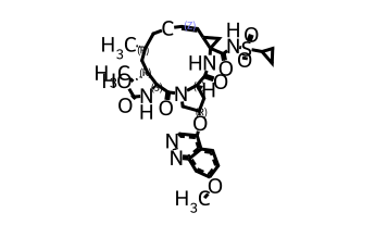 CC[C@@H]1C[C@H](C)CC/C=C\C2CC2(C(=O)NS(=O)(=O)C2CC2)NC(=O)[C@@H]2C[C@@H](Oc3cnnc4cc(OC)ccc34)CN2C(=O)[C@H]1NC(=O)O